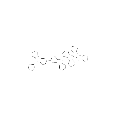 c1ccc(-n2c3ccccc3c3cc(-c4ccc5c(c4)c4ccccc4n5-c4cccc5c4-c4ccccc4C54c5ccccc5-n5c4nc4ccccc45)ccc32)cc1